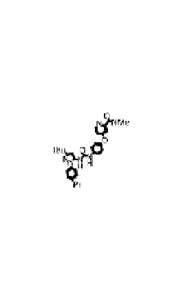 CNC(=O)c1cc(Oc2ccc(NC(=O)Nc3cc(C(C)(C)C)nn3-c3ccc(C(C)C)cc3)cc2)ccn1